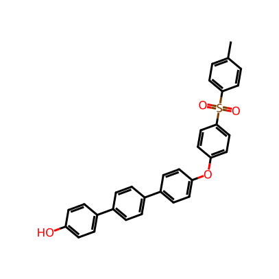 Cc1ccc(S(=O)(=O)c2ccc(Oc3ccc(-c4ccc(-c5ccc(O)cc5)cc4)cc3)cc2)cc1